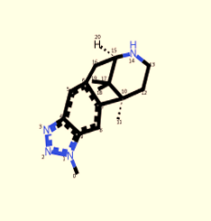 Cn1nnc2cc3c(cc21)[C@]1(C)CCN[C@H](C3)C1(C)C